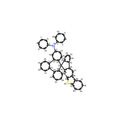 c1ccc(N(c2ccccc2)c2ccc3c(c2)-c2ccccc2-c2ccccc2C32c3ccccc3-c3cc4c(cc32)sc2ccccc24)cc1